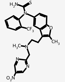 Cc1oc2ccc(N(C(N)=S)c3ccccc3C(F)(F)F)cc2c1CCN(C)Cc1ncc([N+](=O)[O-])cn1